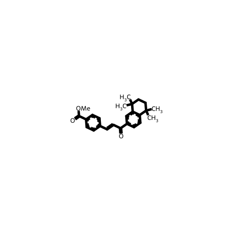 COC(=O)c1ccc(/C=C/C(=O)c2ccc3c(c2)C(C)(C)CCC3(C)C)cc1